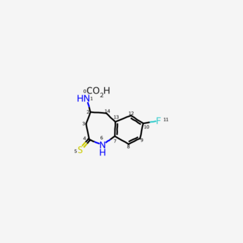 O=C(O)NC1CC(=S)Nc2ccc(F)cc2C1